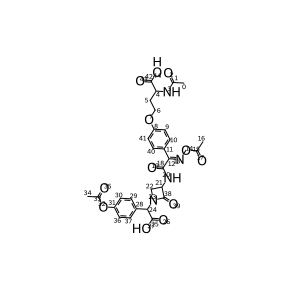 CC(=O)NC(CCOc1ccc(/C(=N\OC(C)=O)C(=O)NC2CN(C(C(=O)O)c3ccc(OC(C)=O)cc3)C2=O)cc1)C(=O)O